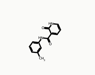 Cc1cccc(NC(=O)c2ccc[nH]c2=O)c1